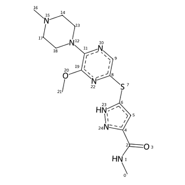 CNC(=O)c1cc(Sc2cnc(N3CCN(C)CC3)c(OC)n2)[nH]n1